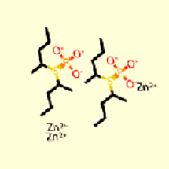 CCCC(C)S(C(C)CCC)=P([O-])([O-])[O-].CCCC(C)S(C(C)CCC)=P([O-])([O-])[O-].[Zn+2].[Zn+2].[Zn+2]